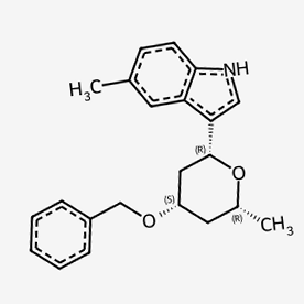 Cc1ccc2[nH]cc([C@H]3C[C@@H](OCc4ccccc4)C[C@@H](C)O3)c2c1